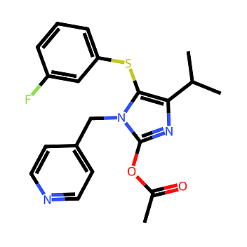 CC(=O)Oc1nc(C(C)C)c(Sc2cccc(F)c2)n1Cc1ccncc1